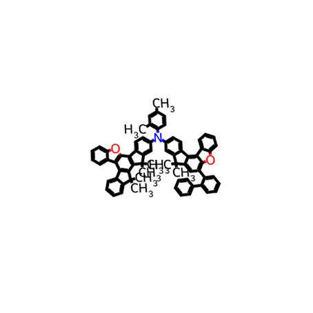 Cc1ccc(N(c2ccc3c(c2)C(C)(C)c2cc(-c4ccccc4-c4ccccc4)c4oc5ccccc5c4c2-3)c2ccc3c(c2)C(C)(C)c2c4c(c5c(oc6ccccc65)c2-3)-c2ccccc2C4(C)C)c(C)c1